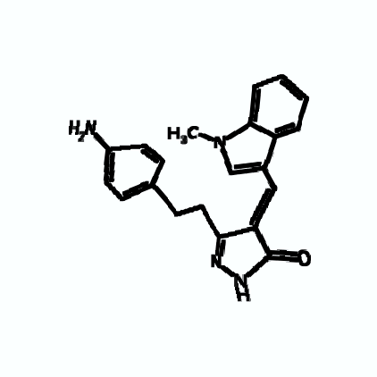 Cn1cc(C=C2C(=O)NN=C2CCc2ccc(N)cc2)c2ccccc21